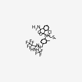 CSC[C@H](C)N(C(=O)c1c(Cl)cccc1C(N)=O)c1ccc(CN2N=C(C(F)(F)C(F)(F)F)NC2C(F)(F)F)cc1C